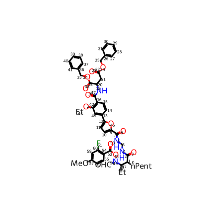 CCCCCC(C(=O)NCNC(=O)c1ccc(-c2ccc(C(=O)NC(CC(=O)OCc3ccccc3)C(=O)OCc3ccccc3)c(OCC)c2)o1)[C@@H](CC)N(C=O)OC(=O)c1ccc(OC)cc1F